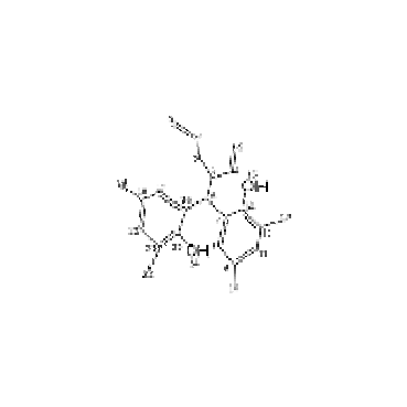 C=CCC(C=C)C(c1cc(C)cc(C)c1O)c1cc(C)cc(C)c1O